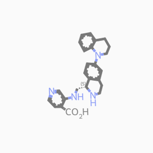 O=C(O)c1ccncc1NC[C@H]1NCCc2cc(N3CCCc4ccccc43)ccc21